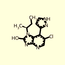 CC[C@H](C)n1c(O)nc2ncc(Cl)c(-c3cc[nH]n3)c21